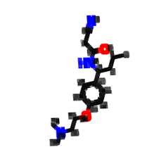 CCCC(NC(=O)CC#N)c1ccc(OCCN(C)C)cc1